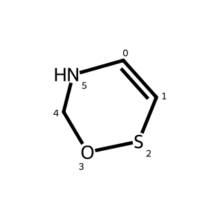 C1=CSOCN1